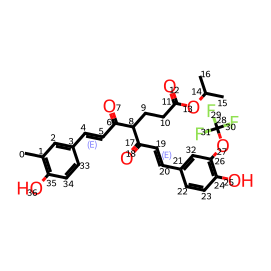 Cc1cc(/C=C/C(=O)C(CCC(=O)OC(C)C)C(=O)/C=C/c2ccc(O)c(OC(F)(F)F)c2)ccc1O